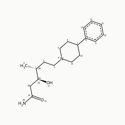 C[C@H](CCN1CCC(c2ccccc2)CC1)[C@@H](O)CC(N)=O